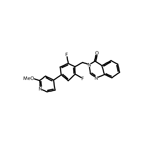 COc1cc(-c2cc(F)c(Cn3cnc4ccccc4c3=O)c(F)c2)ccn1